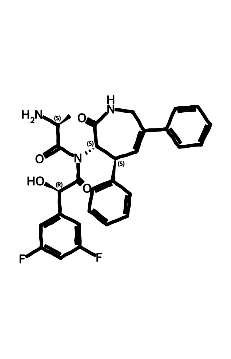 C[C@H](N)C(=O)N(C(=O)[C@H](O)c1cc(F)cc(F)c1)[C@@H]1C(=O)NCC(c2ccccc2)=C[C@H]1c1ccccc1